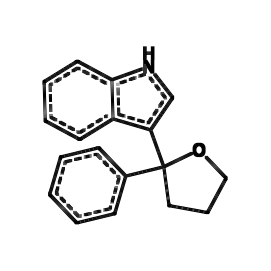 c1ccc(C2(c3c[nH]c4ccccc34)CCCO2)cc1